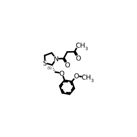 COc1ccccc1OC[C@@H]1SCCN1C(=O)CC(C)=O